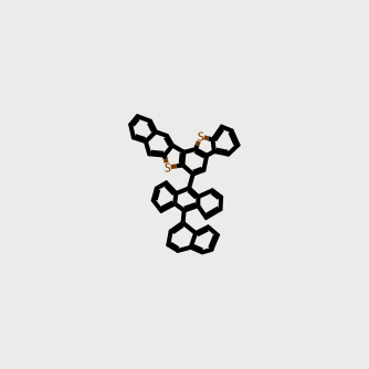 c1ccc2cc3c(cc2c1)sc1c(-c2c4ccccc4c(-c4cccc5ccccc45)c4ccccc24)cc2c4ccccc4sc2c13